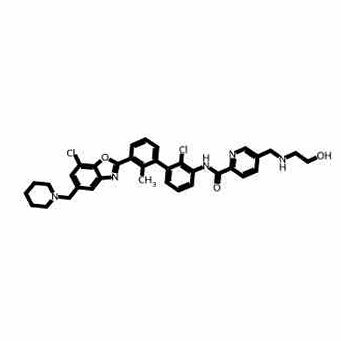 Cc1c(-c2nc3cc(CN4CCCCC4)cc(Cl)c3o2)cccc1-c1cccc(NC(=O)c2ccc(CNCCO)cn2)c1Cl